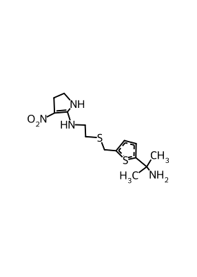 CC(C)(N)c1ccc(CSCCNC2=C([N+](=O)[O-])CCN2)s1